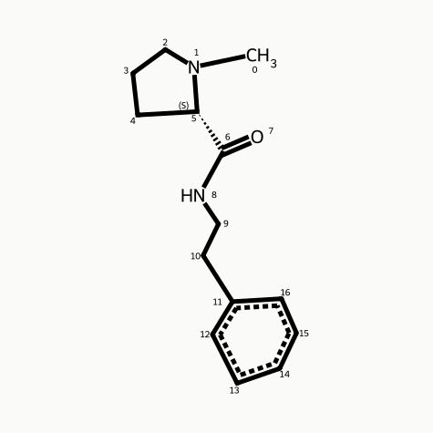 CN1CCC[C@H]1C(=O)NCCc1ccccc1